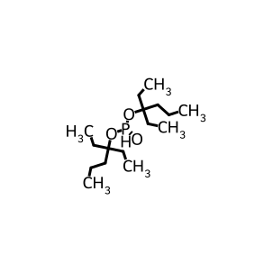 CCCC(CC)(CC)O[PH](=O)OC(CC)(CC)CCC